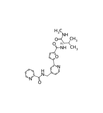 CNC(=O)[C@@H](NC(=O)c1ccc(-c2cc(CNC(=O)c3ccccn3)ccn2)o1)C(C)C